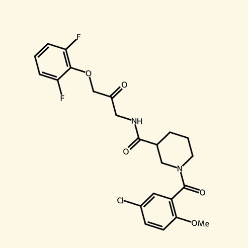 COc1ccc(Cl)cc1C(=O)N1CCCC(C(=O)NCC(=O)COc2c(F)cccc2F)C1